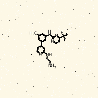 Cc1cc(Nc2nccc(C(F)(F)F)n2)cc(-c2ccnc(NCCN)c2)c1